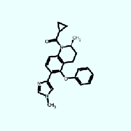 C[C@H]1CCc2c(ccc(-c3cn(C)cn3)c2Oc2ccccc2)N1C(=O)C1CC1